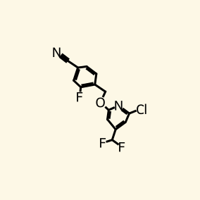 N#Cc1ccc(COc2cc(C(F)F)cc(Cl)n2)c(F)c1